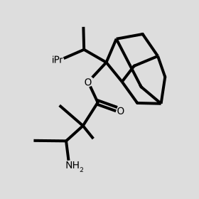 CC(C)C(C)C1(OC(=O)C(C)(C)C(C)N)C2CC3CC(C2)CC1C3